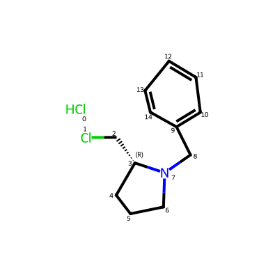 Cl.ClC[C@H]1CCCN1Cc1ccccc1